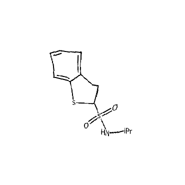 CC(C)NS(=O)(=O)C1Cc2ccccc2S1